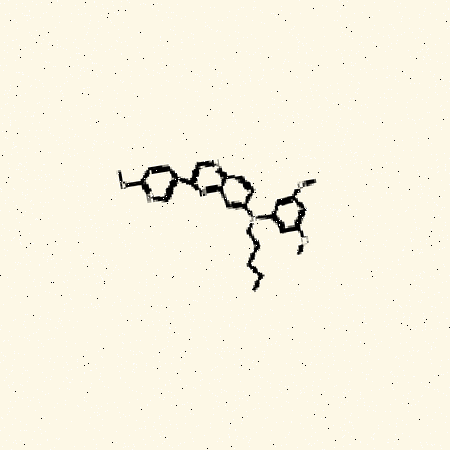 CCCCCN(c1cc(OC)cc(OC)c1)c1ccc2ncc(-c3ccc(OC)nc3)nc2c1